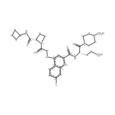 CCOC(=O)N1CCN(C(=O)[C@H](CCC(=O)O)NC(=O)c2cc(OCC(=O)N3CC[C@H]3C(=O)NC3CCC3)c3ccc(F)cc3n2)CC1